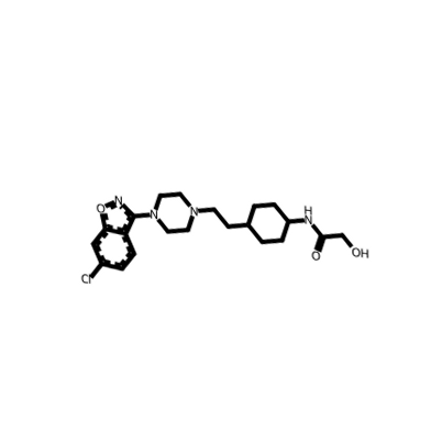 O=C(CO)NC1CCC(CCN2CCN(c3noc4cc(Cl)ccc34)CC2)CC1